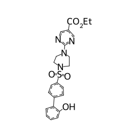 CCOC(=O)c1cnc(N2CCN(S(=O)(=O)c3ccc(-c4ccccc4O)cc3)CC2)nc1